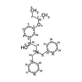 CC[C@H](C)Oc1cccc([C@H](O)CN(Cc2ccccc2)Cc2ccccc2)c1